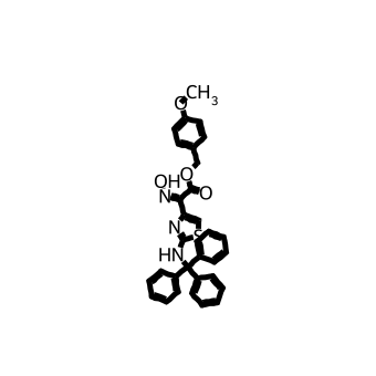 COc1ccc(COC(=O)C(=NO)c2csc(NC(c3ccccc3)(c3ccccc3)c3ccccc3)n2)cc1